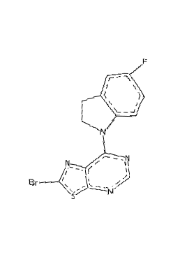 Fc1ccc2c(c1)CCN2c1ncnc2sc(Br)nc12